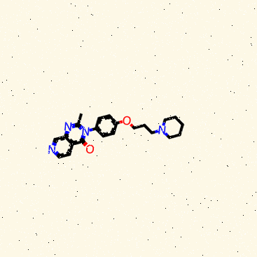 Cc1nc2cnccc2c(=O)n1-c1ccc(OCCCN2CCCCC2)cc1